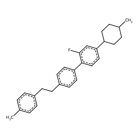 Cc1ccc(CCc2ccc(-c3ccc(C4CCC(C)CC4)cc3F)cc2)cc1